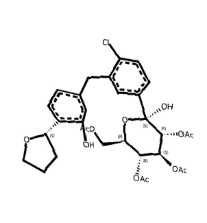 CC(=O)OC[C@H]1O[C@@](O)(c2ccc(Cl)c(Cc3ccc([C@@H]4CCCO4)c(O)c3)c2)[C@H](OC(C)=O)[C@@H](OC(C)=O)[C@@H]1OC(C)=O